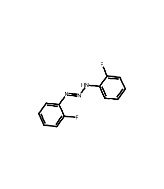 Fc1ccccc1N=NNc1ccccc1F